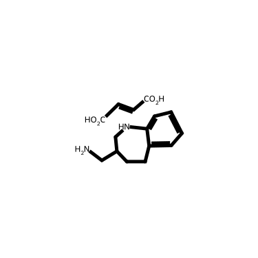 NCC1CCc2ccccc2NC1.O=C(O)/C=C/C(=O)O